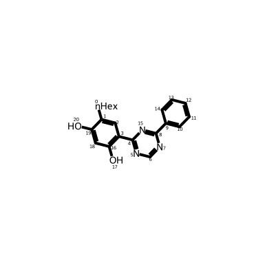 CCCCCCc1cc(-c2ncnc(-c3ccccc3)n2)c(O)cc1O